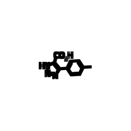 Cc1ccc(-c2nn[nH]c2C(=O)O)cc1